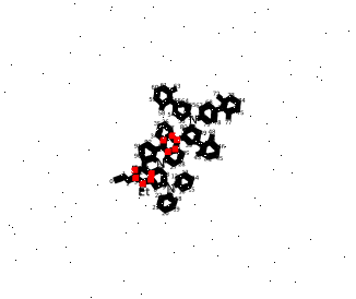 C=C/C=C(\CC)N(CC)c1cc(N(c2ccccc2)c2ccccc2)cc(N(c2cccc(N(c3ccccc3)c3cc(-c4c(C)cccc4C)cc(N(c4ccc(-c5c(C)cccc5C)cc4)c4ccc(-c5c(C)cccc5C)cc4)c3)c2)c2c(-c3ccccc3)cccc2-c2ccccc2)c1